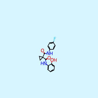 O=C(Nc1ccc(F)cc1)C1(C(=O)Nc2ccccc2O)CC1